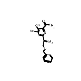 CC(=O)c1nc(C(N)COCc2ccccc2)nc(O)c1O